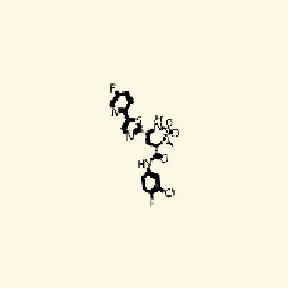 CN1[C@H](C(=O)Nc2ccc(F)c(Cl)c2)C[C@H](c2ncc(-c3ccc(F)cn3)s2)NS1(=O)=O